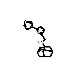 c1cc(-c2ccc(CNC34CC5CC(CC(C5)C3)C4)s2)co1